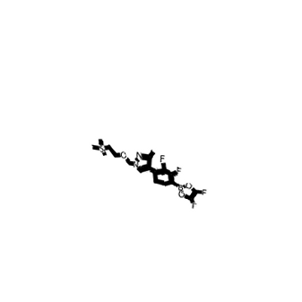 Cc1nn(COCC[Si](C)(C)C)cc1-c1ccc(B2OC(F)C(F)O2)c(F)c1F